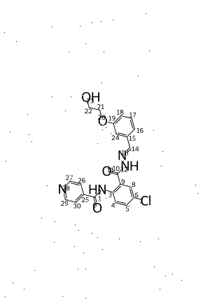 O=C(Nc1ccc(Cl)cc1C(=O)NN=Cc1cccc(OCCO)c1)c1ccncc1